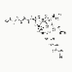 CCCCCCCC=C(CCCCCCC)CC(C)(CCCCCCCC)CCCCCCCCCC